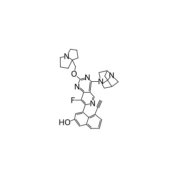 C#Cc1cccc2cc(O)cc(-c3ncc4c(N5CC6CC7(C)C(C5)CN67)nc(OCC56CCCN5CCC6)nc4c3F)c12